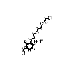 Cc1c(SCCOCCOCCCl)ccnc1CCl.Cl